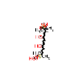 CC(C)(CCCC(O)CCCC(O)CCCC(C)(C)S(=O)(=O)O)SOOO